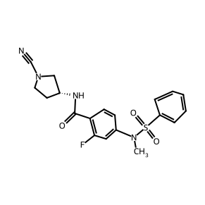 CN(c1ccc(C(=O)N[C@@H]2CCN(C#N)C2)c(F)c1)S(=O)(=O)c1ccccc1